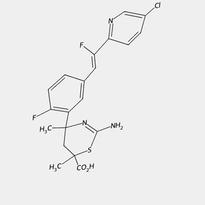 CC1(C(=O)O)CC(C)(c2cc(/C=C(\F)c3ccc(Cl)cn3)ccc2F)N=C(N)S1